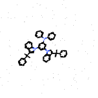 CC(C)(c1ccccc1)c1cn(-c2cc(N(c3ccccc3)c3ccccc3)cc(-n3cc(C(C)(C)c4ccccc4)c4ccccc43)c2)c2ccccc12